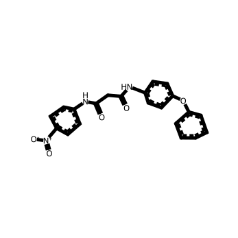 O=C(CC(=O)Nc1ccc([N+](=O)[O-])cc1)Nc1ccc(Oc2ccccc2)cc1